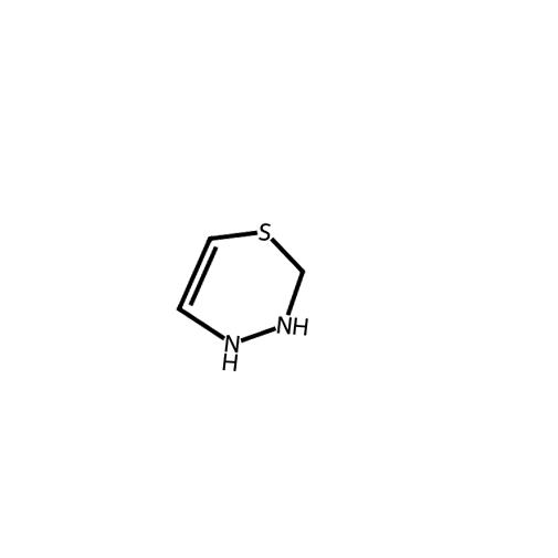 C1=CSCNN1